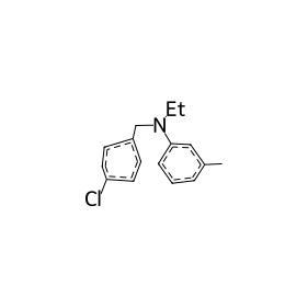 CCN(Cc1ccc(Cl)cc1)c1cccc(C)c1